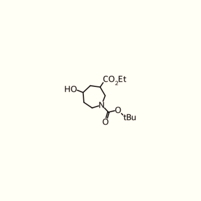 CCOC(=O)C1CC(O)CCN(C(=O)OC(C)(C)C)C1